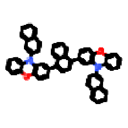 c1ccc2c(c1)Oc1ccc(-c3ccc(-c4ccc5c(c4)N(c4ccc6ccccc6c4)c4ccccc4O5)c4ccccc34)cc1N2c1ccc2ccccc2c1